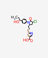 CCC(O)c1ccc(N2C(=O)C(Cl)CC2CCSc2ncc(C(=O)O)s2)cc1